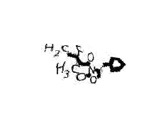 C=C[C@H](F)[C@@H](C)C(=O)N1C(=O)OC[C@H]1Cc1ccccc1